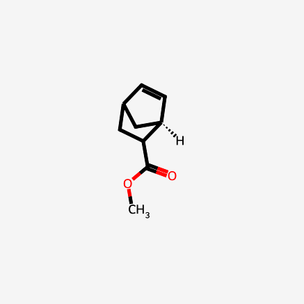 COC(=O)C1CC2C=C[C@@H]1C2